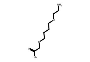 CC(C)C(=O)COCCCCOCCN